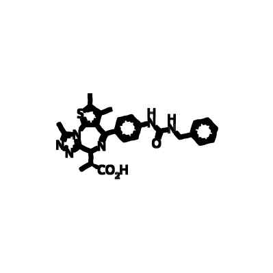 Cc1sc2c(c1C)C(c1ccc(NC(=O)NCc3ccccc3)cc1)=NC([C@H](C)C(=O)O)c1nnc(C)n1-2